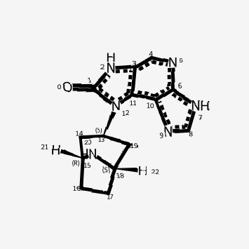 O=c1[nH]c2cnc3[nH]cnc3c2n1[C@@H]1C[C@H]2CC[C@@H](C1)N2